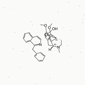 COC1=C[C@]23CCN(C)[C@H](Cc4ccc(OC)c(O)c42)C3=CC1=O.c1ccc(Cc2nccc3ccccc23)cc1